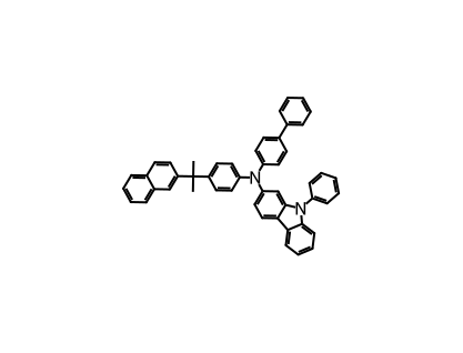 CC(C)(c1ccc(N(c2ccc(-c3ccccc3)cc2)c2ccc3c4ccccc4n(-c4ccccc4)c3c2)cc1)c1ccc2ccccc2c1